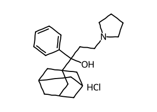 Cl.OC(CCN1CCCC1)(c1ccccc1)C12CC3CC(CC(C3)C1)C2